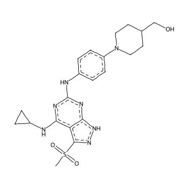 CS(=O)(=O)c1n[nH]c2nc(Nc3ccc(N4CCC(CO)CC4)cc3)nc(NC3CC3)c12